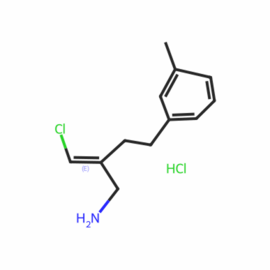 Cc1cccc(CC/C(=C\Cl)CN)c1.Cl